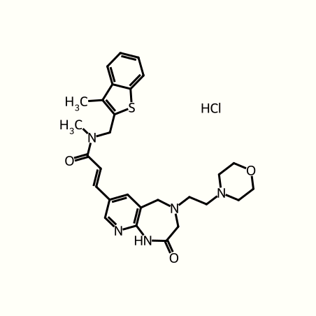 Cc1c(CN(C)C(=O)C=Cc2cnc3c(c2)CN(CCN2CCOCC2)CC(=O)N3)sc2ccccc12.Cl